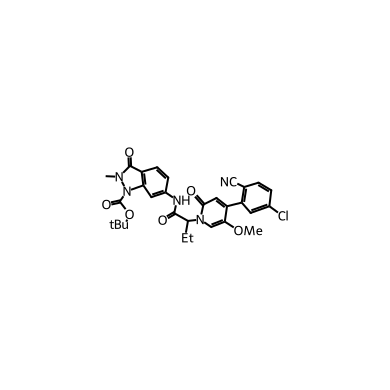 CCC(C(=O)Nc1ccc2c(=O)n(C)n(C(=O)OC(C)(C)C)c2c1)n1cc(OC)c(-c2cc(Cl)ccc2C#N)cc1=O